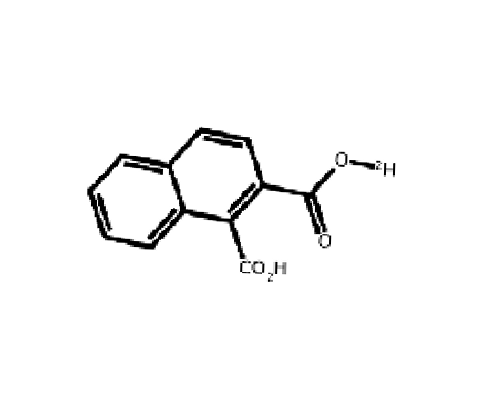 [2H]OC(=O)c1ccc2ccccc2c1C(=O)O